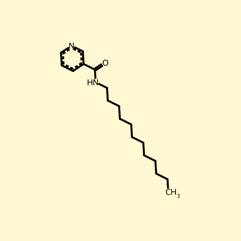 CCCCCCCCCCCCNC(=O)c1cccnc1